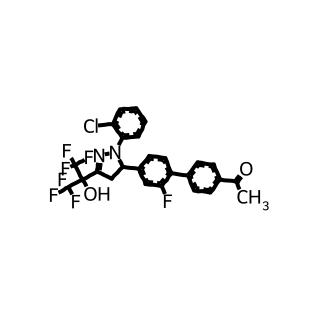 CC(=O)c1ccc(-c2ccc(C3CC(C(O)(C(F)(F)F)C(F)(F)F)=NN3c3ccccc3Cl)cc2F)cc1